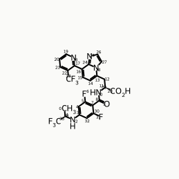 C[C@@H](Nc1cc(F)c(C(=O)N[C@@H](Cc2ccc(-c3ncccc3C(F)(F)F)c3nccn23)C(=O)O)c(F)c1)C(F)(F)F